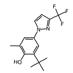 Cc1cc(-n2ccc(C(F)(F)F)n2)cc(C(C)(C)C)c1O